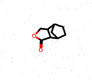 O=C1OCC2C3[CH]CC(C3)C12